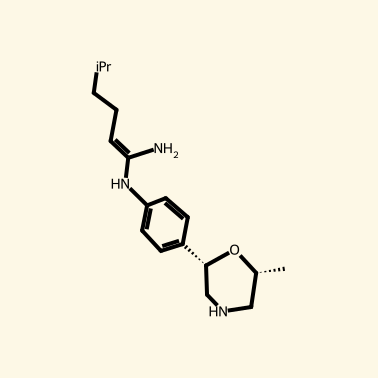 CC(C)CC/C=C(\N)Nc1ccc([C@H]2CNC[C@@H](C)O2)cc1